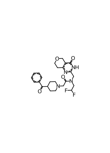 O=C(c1ccccc1)C1CCN(CC(=O)N(Cc2nc3c(c(=O)[nH]2)COCC3)CC(F)F)CC1